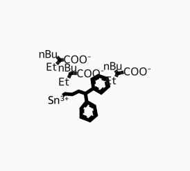 CCCCC(CC)C(=O)[O-].CCCCC(CC)C(=O)[O-].CCCCC(CC)C(=O)[O-].[Sn+3][CH2]CCC(c1ccccc1)c1ccccc1